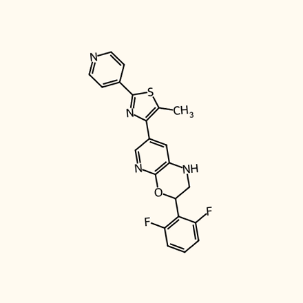 Cc1sc(-c2ccncc2)nc1-c1cnc2c(c1)NCC(c1c(F)cccc1F)O2